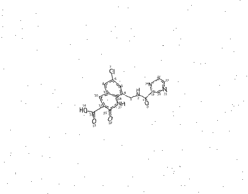 O=C(NCc1cc(Cl)cc2cc(C(=O)O)c(=O)[nH]c12)c1cnccn1